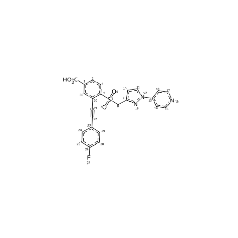 O=C(O)c1ccc(S(=O)(=O)Cc2ccn(-c3ccncc3)n2)c(C#Cc2ccc(F)cc2)c1